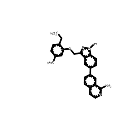 COc1ccc(CC(=O)O)c(OCc2nn(C(C)C)c3ccc(-c4ccc5ccnc(N)c5c4)cc23)c1